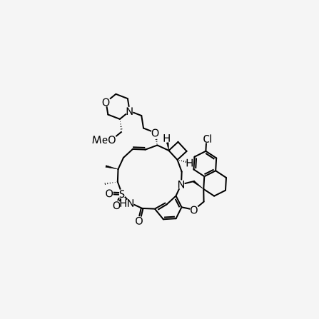 COC[C@@H]1COCCN1CCO[C@H]1/C=C/C[C@H](C)[C@@H](C)S(=O)(=O)NC(=O)c2ccc3c(c2)N(C[C@@H]2CC[C@H]21)C[C@@]1(CCCc2cc(Cl)ccc21)CO3